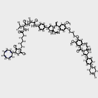 C=C1c2cc(OC)c(OCCCOc3cc4c(cc3OC)C(=O)N3C=C(c5ccc(N6CCN(C)CC6)cc5)C[C@H]3C=N4)cc2N=C[C@@H]2CC(c3ccc(NC(=O)[C@H](C)NC(=O)C(NC(=O)CCCCCN4C(=O)CC(C5=C/C=C\C=C/C=C\5)C4=O)C(C)C)cc3)=CN12